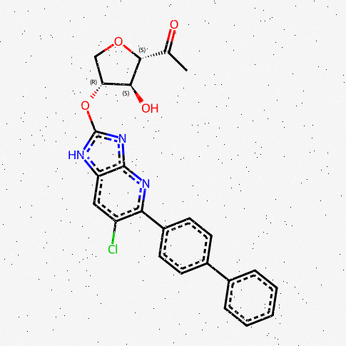 CC(=O)[C@H]1OC[C@@H](Oc2nc3nc(-c4ccc(-c5ccccc5)cc4)c(Cl)cc3[nH]2)[C@@H]1O